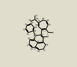 CCC1=C(C2=C(C)C3=c4c(cccc4=CCC3)N2c2ccccc2)C=C(C(C)C)CC=C1